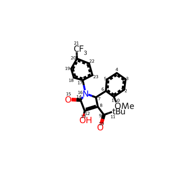 COc1ccccc1C1C(C(=O)C(C)(C)C)=C(O)C(=O)N1c1ccc(C(F)(F)F)cc1